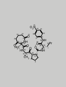 CC(C)C[C@H](NC(=O)[C@@H]1CCCN1C(=O)[C@H](C)NC(=O)[C@]1(C)NC(=O)CCCC1=O)C(=O)Nc1ccc([N+](=O)[O-])cc1